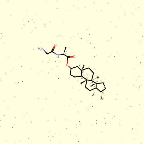 CC(=O)[C@H]1CC[C@H]2[C@@H]3CC[C@H]4CC(OC(=O)[C@H](C)NC(=O)CN)CC[C@]4(C)[C@H]3CC[C@]12C